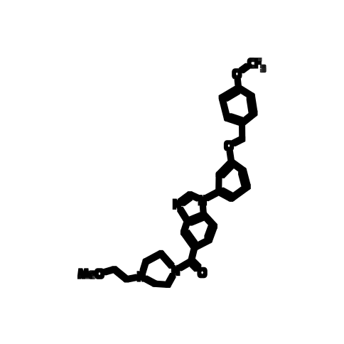 COCCN1CCN(C(=O)c2ccc3c(c2)ncn3-c2cccc(OCc3ccc(OC(F)(F)F)cc3)c2)CC1